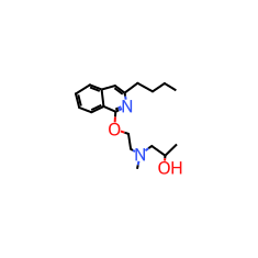 CCCCc1cc2ccccc2c(OCCN(C)CC(C)O)n1